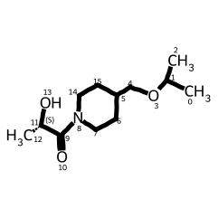 CC(C)OCC1CCN(C(=O)[C@H](C)O)CC1